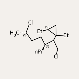 CCC[C@@H](CC[C@H](C)Cl)C(CCl)C1(CC)C[C@@H]1CC